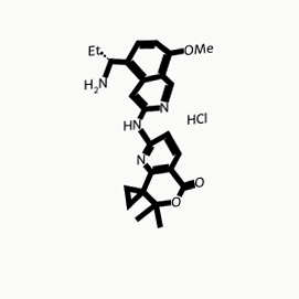 CC[C@@H](N)c1ccc(OC)c2cnc(Nc3ccc4c(n3)C3(CC3)C(C)(C)OC4=O)cc12.Cl